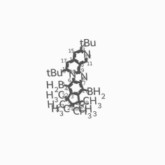 Bc1c2c(c(B)c3c1nc1c4cnc(C(C)(C)C)cc4cc(C(C)(C)C)n13)C(C)(C)C(C)(C)C2(C)C